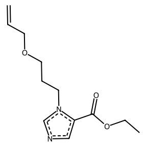 C=CCOCCCn1cncc1C(=O)OCC